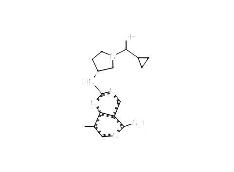 Cc1cnc(N)c2cnc(N[C@H]3CCN(C(O)C4CC4)C3)nc12